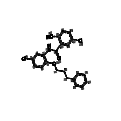 O=C(Nc1cc(Cl)ccc1OCCCc1ccccc1)c1cc(Cl)ccc1O